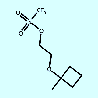 CC1(OCCOS(=O)(=O)C(F)(F)F)CCC1